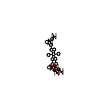 CN(C)c1ccc(N2c3ccc(-c4ccc5c6c(-c7ccccc7)c7c8ccc(-c9ccc%10c(c9)C9(C)CCCCC9(C)N%10c9ccc(N(C)C)cc9)c9c(-c%10ccc%11c(c%10)C%10(C)CCCCC%10(C)N%11c%10ccc(N(C)C)cc%10)ccc(c7c(-c7ccccc7)c6c6cccc4c65)c98)cc3C3(C)CCCCC23C)cc1